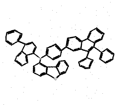 c1ccc(-c2ccc(N(c3ccc(-c4ccc5c(c4)c(-c4ccccc4)c(-c4ccccc4)c4ccccc45)cc3)c3cccc4oc5ccccc5c34)c3ccccc23)cc1